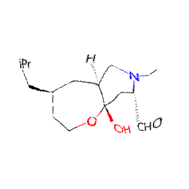 CC(C)C[C@@H]1CCO[C@]2(O)[C@@H](C1)CN(C)[C@@H]2C=O